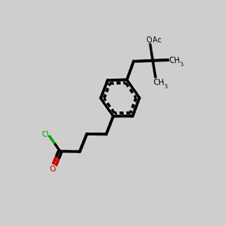 CC(=O)OC(C)(C)Cc1ccc(CCCC(=O)Cl)cc1